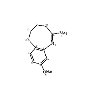 COc1ccc2c(c1)N=C(SC)CCCS2